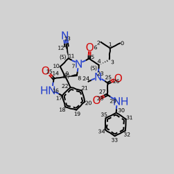 CC(C)C[C@@H](C(=O)N1C[C@]2(C[C@H]1C#N)C(=O)Nc1ccccc12)N(C)C(=O)C(=O)Nc1ccccc1